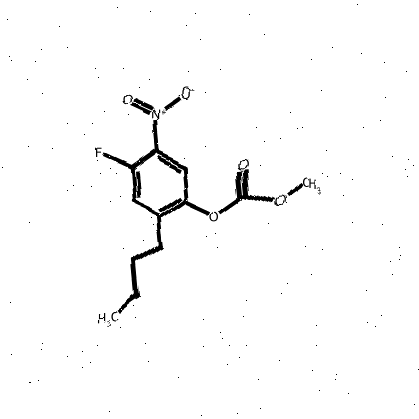 CCCCc1cc(F)c([N+](=O)[O-])cc1OC(=O)OC